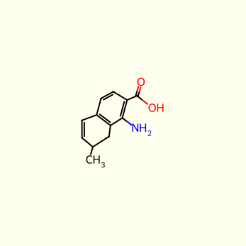 CC1C=Cc2ccc(C(=O)O)c(N)c2C1